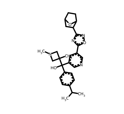 CC(C)c1ccc(C(O)(c2cncc(-c3nc(C4CC5CCC4O5)no3)c2)C2(C)CN(C)C2)cc1